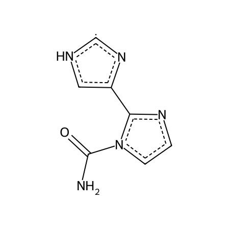 NC(=O)n1ccnc1-c1c[nH][c]n1